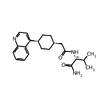 CC(C)[C@@H](NC(=O)C[C@H]1CC[C@@H](c2ccnc3ccccc32)CC1)C(N)=O